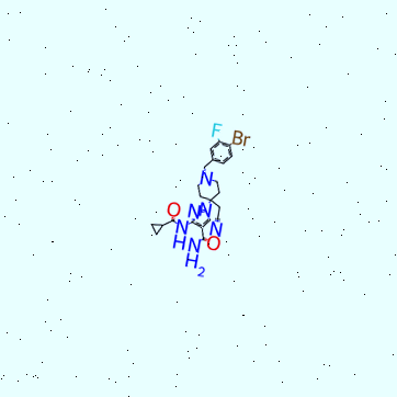 N#CCC1(n2cc(C(N)=O)c(NC(=O)C3CC3)n2)CCN(Cc2ccc(Br)c(F)c2)CC1